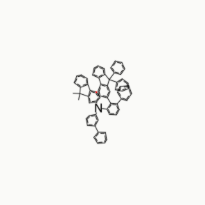 CC1(C)c2ccccc2-c2ccc(N(c3cccc(-c4ccccc4)c3)c3cccc(-c4ccccc4)c3-c3ccc4c(c3)C(c3ccccc3)(c3ccccc3)c3ccccc3-4)cc21